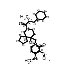 C=Nc1ccn(CC2(O)CCN(C(=O)[C@H](C)CC3CCCCC3)CC23CCCC3)c(=O)c1N=C